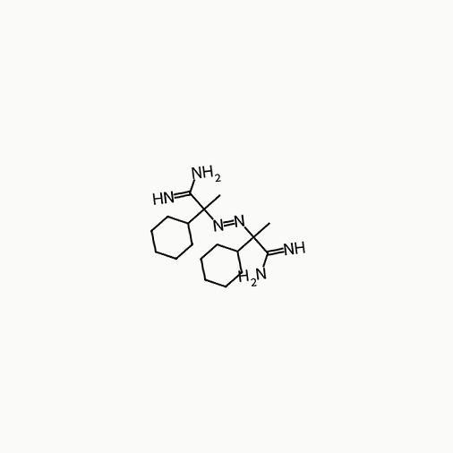 CC(N=NC(C)(C(=N)N)C1CCCCC1)(C(=N)N)C1CCCCC1